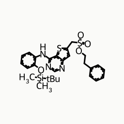 CC(C)(C)[Si](C)(C)Oc1ccccc1Nc1ncnc2cc(CS(=O)(=O)OCCc3ccccc3)sc12